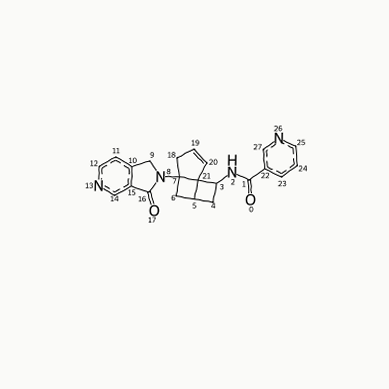 O=C(NC1CC2CC3(N4Cc5ccncc5C4=O)CC=CC213)c1cccnc1